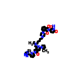 CCn1cnnc1-c1cccc(N2Cc3c(cc(N4CCC[C@H]4C)nc3CN(C)CCCCCN3CCN(c4cccc5c4C(=O)N(C4CCC(=O)NC4=O)C5=O)CC3)C2=O)n1